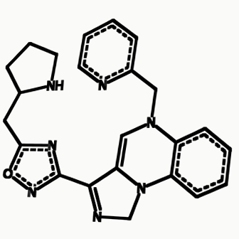 C1=C2C(c3noc(CC4CCCN4)n3)=NCN2c2ccccc2N1Cc1ccccn1